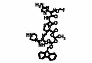 CC(OC(=O)OCC1c2ccccc2-c2ccccc21)OC(=O)C1=C(/C=N/N(C)C(=N)N2CCNCC2)CSC2C(NC(=O)/C(=N\OCF)c3nsc(N)n3)C(=O)N12